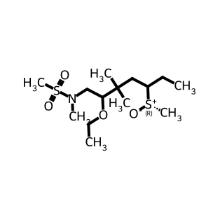 CCOC(CN(C)S(C)(=O)=O)C(C)(C)CC(CC)[S@+](C)[O-]